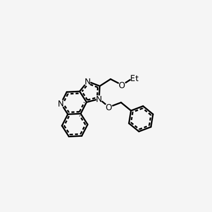 CCOCc1nc2cnc3ccccc3c2n1OCc1ccccc1